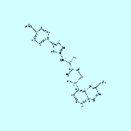 COc1ccc(-c2nnc(NC(C)[C@H]3CC[C@@H](c4ccnc5ccc(C(F)(F)F)cc54)CC3)o2)cc1